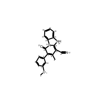 COc1cccc(-c2c(C)c(C#N)c3[nH]c4ccccc4n3c2=O)c1